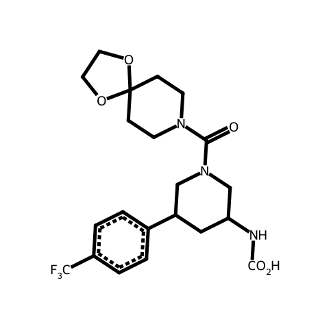 O=C(O)NC1CC(c2ccc(C(F)(F)F)cc2)CN(C(=O)N2CCC3(CC2)OCCO3)C1